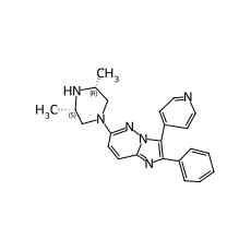 C[C@@H]1CN(c2ccc3nc(-c4ccccc4)c(-c4ccncc4)n3n2)C[C@H](C)N1